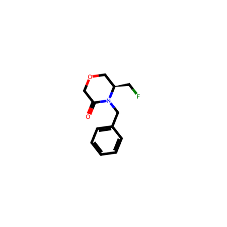 O=C1COC[C@@H](CF)N1Cc1ccccc1